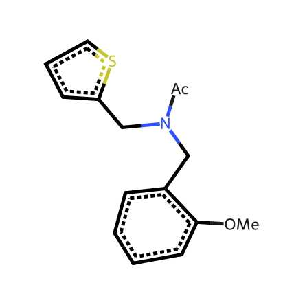 COc1ccccc1CN(Cc1cccs1)C(C)=O